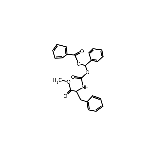 COC(=O)C(Cc1ccccc1)NC(=O)OC(OC(=O)c1ccccc1)c1ccccc1